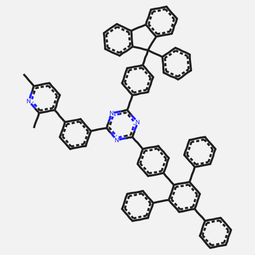 Cc1ccc(-c2cccc(-c3nc(-c4ccc(-c5c(-c6ccccc6)cc(-c6ccccc6)cc5-c5ccccc5)cc4)nc(-c4ccc(C5(c6ccccc6)c6ccccc6-c6ccccc65)cc4)n3)c2)c(C)n1